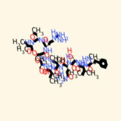 CCC[C@@H]1NC(=O)[C@H](CCCNC(=N)N)NC(=O)[C@H](NC(=O)[C@H](CO)NC(=O)[C@@H](NC(=O)[C@H](NC(=O)[C@@H](CCC(N)=O)NC(=O)[C@H](CO)NC(=O)[C@@H](NC(=O)[C@@H](CCc2ccccc2)NC)[C@@H](C)CC)[C@H](C)CC)[C@@H](C)CC)[C@H](C)OC(=O)[C@H]([C@@H](C)CC)NC1=O